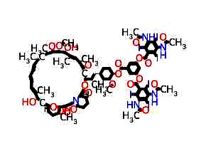 CO[C@@H]1C[C@H](C[C@@H](C)[C@@H]2CC(=O)[C@H](C)/C=C(\C)[C@@H](O)[C@@H](OC)C(=O)[C@H](C)C[C@H](C)/C=C/C=C/C=C(\C)[C@@H](O)C[C@@H]3CC[C@@H](C)[C@@](O)(O3)C(=O)C(=O)N3CCCC[C@H]3C(=O)O2)CC[C@H]1OC(=O)c1cc(OC(=O)c2c(I)c(NC(C)=O)c(I)c(NC(C)=O)c2I)cc(OC(=O)c2c(I)c(NC(C)=O)c(I)c(NC(C)=O)c2I)c1